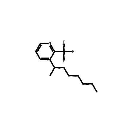 CCCCCCC(C)c1cccnc1C(F)(F)F